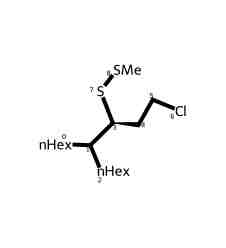 CCCCCCC(CCCCCC)[C@H](CCCl)SSC